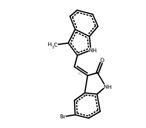 Cc1c(/C=C2\C(=O)Nc3ccc(Br)cc32)[nH]c2ccccc12